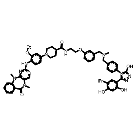 CCOc1cc(N2CCC(C(=O)NCCOc3cccc(CN(C)Cc4ccc(-n5c(O)nnc5-c5cc(C(C)C)c(O)cc5O)cc4)c3)CC2)ccc1Nc1ncc2c(n1)N(C)c1ccccc1C(=O)N2C